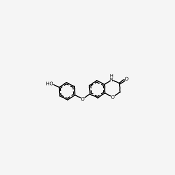 O=C1COc2cc(Oc3ccc(O)cc3)ccc2N1